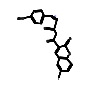 COc1ccc(/C=C\C(=O)CC(=O)c2cc3cc(I)ccc3sc2=O)cc1